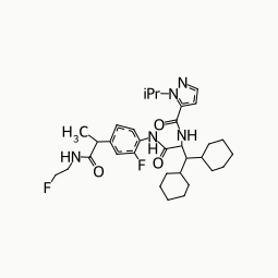 CC(C(=O)NCCF)c1ccc(NC(=O)C(NC(=O)c2ccnn2C(C)C)C(C2CCCCC2)C2CCCCC2)c(F)c1